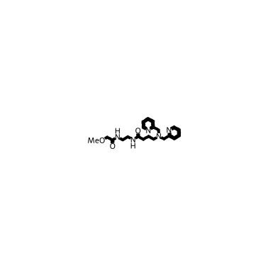 COCC(=O)NCCNC(=O)CCCN(Cc1ccccn1)Cc1ccccn1